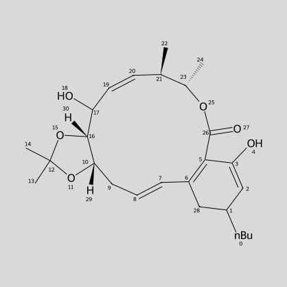 CCCCC1C=C(O)C2=C(/C=C/C[C@@H]3OC(C)(C)O[C@@H]3C(O)/C=C\[C@@H](C)[C@H](C)OC2=O)C1